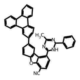 CC1=NC(c2ccccc2)NC(c2ccc(C#N)c3oc4ccc(-c5ccc6c7ccccc7c7ccccc7c6c5)cc4c23)=N1